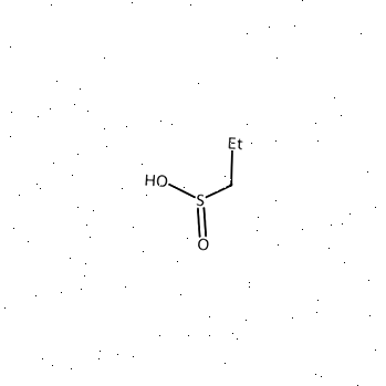 CCCS(=O)O